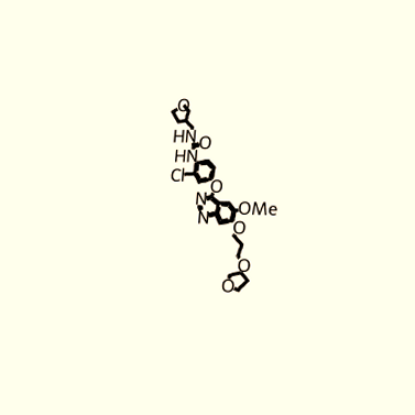 COc1cc2c(Oc3ccc(NC(=O)NCC4CCOC4)c(Cl)c3)ncnc2cc1OCCCOC1CCOC1